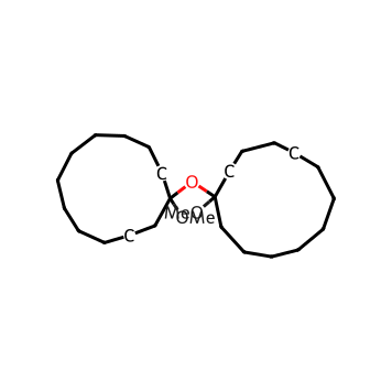 COC1(OC2(OC)CCCCCCCCCCC2)CCCCCCCCCCC1